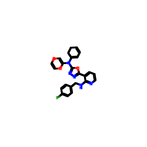 Fc1ccc(CNc2ncccc2-c2nnc(N(C3=CC=CCC3)C3=COC=CO3)o2)cc1